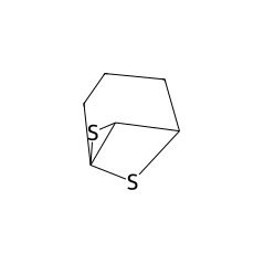 C1CC2SC3(C1)SC23